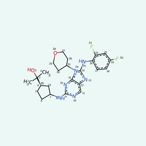 CC(C)(O)[C@@H]1CCC(Nc2ncc3nc(Nc4ccc(F)cc4F)n(C4CCOCC4)c3n2)C1